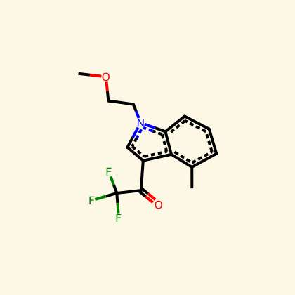 COCCn1cc(C(=O)C(F)(F)F)c2c(C)cccc21